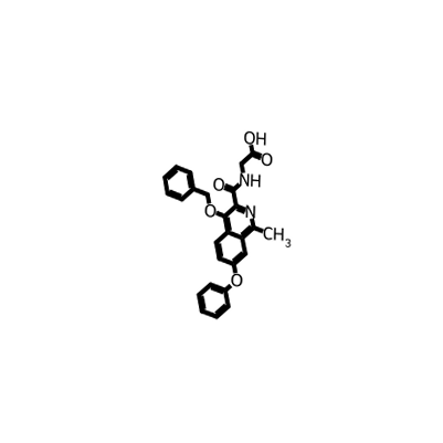 Cc1nc(C(=O)NCC(=O)O)c(OCc2ccccc2)c2ccc(Oc3ccccc3)cc12